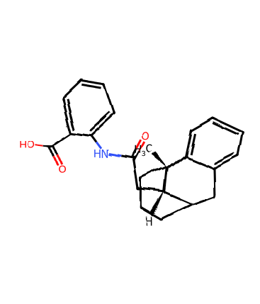 C[C@@]12CCCC(Cc3ccccc31)[C@@H]2CC(=O)Nc1ccccc1C(=O)O